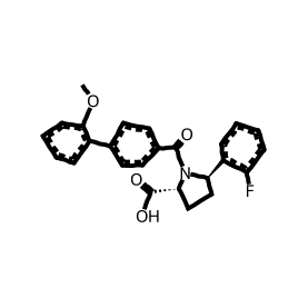 COc1ccccc1-c1ccc(C(=O)N2[C@@H](C(=O)O)CC[C@@H]2c2ccccc2F)cc1